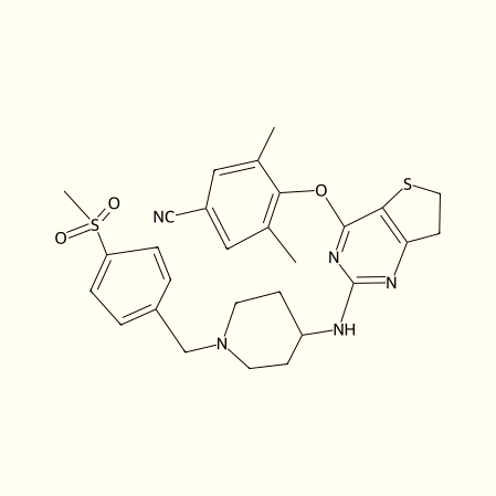 Cc1cc(C#N)cc(C)c1Oc1nc(NC2CCN(Cc3ccc(S(C)(=O)=O)cc3)CC2)nc2c1SCC2